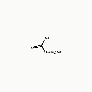 COOC(=O)S